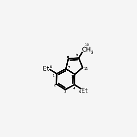 CCc1ccc(CC)c2c1C=C(C)C2